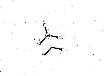 CCCl.[Cl][Ge]([Cl])[Cl]